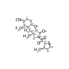 [C-]#[N+]c1ccc(OC2C(=O)N(S(=O)(=O)c3sccc3C)CC2(C)C)cc1C(F)(F)F